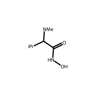 CNC(C(=O)NO)C(C)C